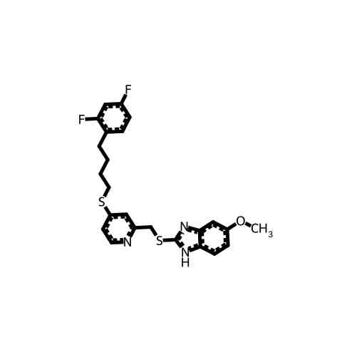 COc1ccc2[nH]c(SCc3cc(SCCCCc4ccc(F)cc4F)ccn3)nc2c1